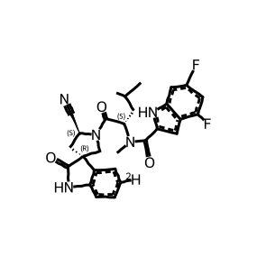 [2H]c1ccc2c(c1)[C@@]1(C[C@@H](C#N)N(C(=O)[C@H](CC(C)C)N(C)C(=O)c3cc4c(F)cc(F)cc4[nH]3)C1)C(=O)N2